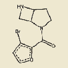 O=C(c1occc1Br)N1CCC2NCC21